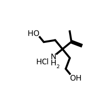 C=C(C)C(N)(CCO)CCO.Cl